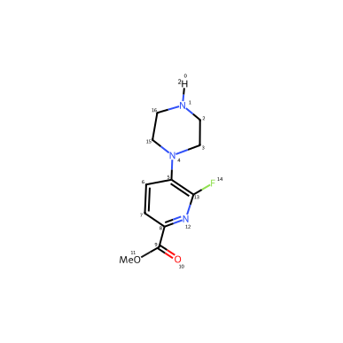 [2H]N1CCN(c2ccc(C(=O)OC)nc2F)CC1